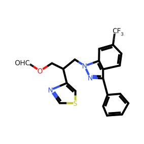 O=COCC(Cn1nc(-c2ccccc2)c2ccc(C(F)(F)F)cc21)c1cscn1